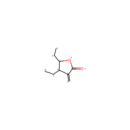 C=C1C(=O)OC(CC)C1CC